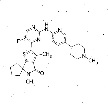 Cc1c(-c2nc(Nc3ccc(C4CCN(C)CC4)cn3)ncc2F)sc2c1C(=O)N(C)C21CCCC1